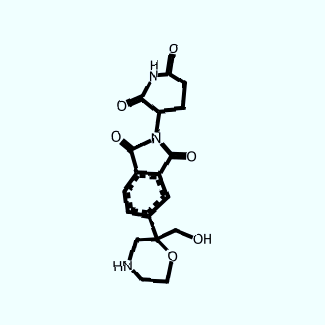 O=C1CCC(N2C(=O)c3ccc(C4(CO)CNCCO4)cc3C2=O)C(=O)N1